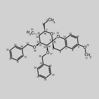 CC[C@H]1O[C@@]2(CCc3cc(OC)ccc3O2)[C@@H](OCc2ccccc2)[C@@H](OCc2ccccc2)[C@@H]1C